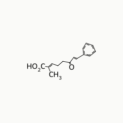 CC(=CCCC(=O)C=Cc1ccccc1)C(=O)O